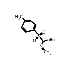 C=NC(CCCC)S(=O)(=O)c1ccc(C)cc1